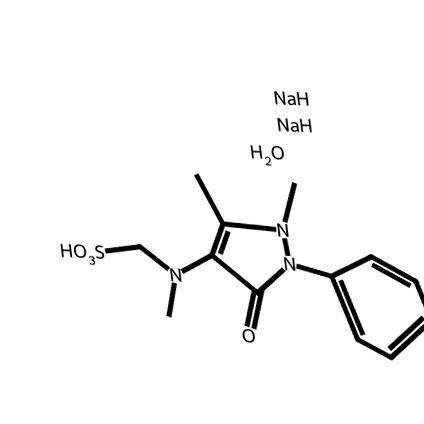 Cc1c(N(C)CS(=O)(=O)O)c(=O)n(-c2ccccc2)n1C.O.[NaH].[NaH]